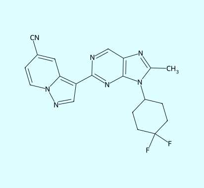 Cc1nc2cnc(-c3cnn4ccc(C#N)cc34)nc2n1C1CCC(F)(F)CC1